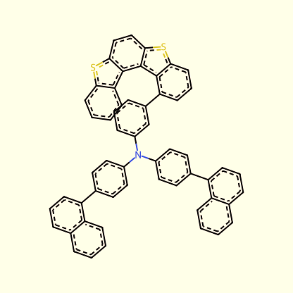 c1cc(-c2cccc3sc4ccc5sc6ccccc6c5c4c23)cc(N(c2ccc(-c3cccc4ccccc34)cc2)c2ccc(-c3cccc4ccccc34)cc2)c1